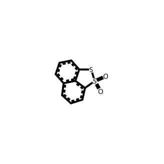 O=S1(=O)Sc2cccc3cccc1c23